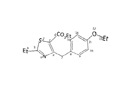 CCOC(=O)c1sc(CC)nc1Cc1ccc(OCC)cc1